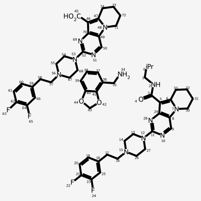 CC(C)CNC(=O)c1c2n(c3cnc(N4CCN(CCc5ccc(F)c(F)c5)CC4)nc13)CCCC2.NCc1cccc2c1OCO2.O=C(O)c1c2n(c3cnc(N4CCN(CCc5ccc(F)c(F)c5)CC4)nc13)CCCC2